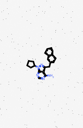 Nc1ncnc2c1c(Cc1ccc3ccccc3c1)nn2C1CCCC1